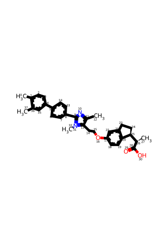 Cc1ccc(-c2ccc(-c3nc(C)c(CCOc4ccc5c(c4)CC[C@H]5[C@H](C)C(=O)O)n3C)cc2)cc1C